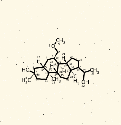 COC[C@@H]1C[C@H]2C[C@](C)(O)CC[C@]2(C)[C@H]2CC[C@]3(C)C(C(C)O)CC[C@H]3[C@H]12